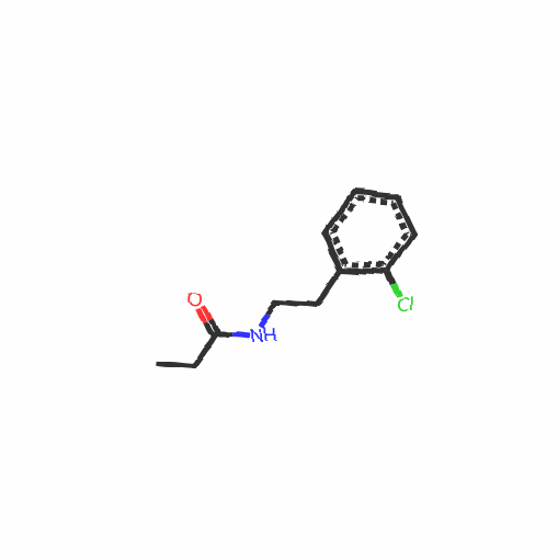 CCC(=O)NCCc1ccccc1Cl